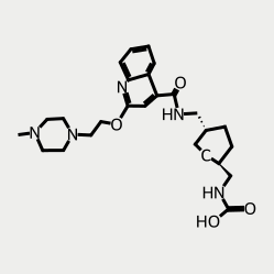 CN1CCN(CCOc2cc(C(=O)NC[C@H]3CC[C@H](CNC(=O)O)CC3)c3ccccc3n2)CC1